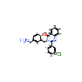 NCc1cccc(Cn2c(-c3cccc(Cl)c3)nc3ccccc3c2=O)c1